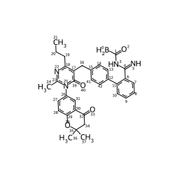 BC(=O)NC(=N)c1ccccc1-c1ccc(Cc2c(CCC)nc(C)n(-c3ccc4c(c3)C(=O)CC(C)(C)O4)c2=O)cc1